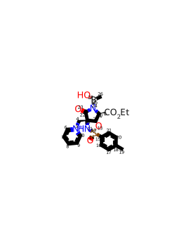 CCOC(=O)[C@@H]1C[C@](C[n+]2ccccc2)(NS(=O)(=O)c2ccc(C)cc2)C(=O)N1B(C)O